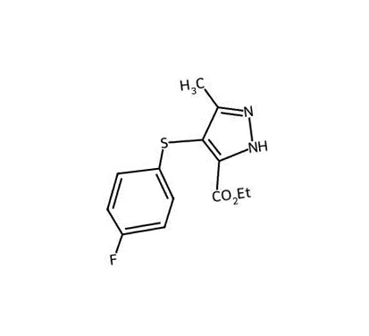 CCOC(=O)c1[nH]nc(C)c1Sc1ccc(F)cc1